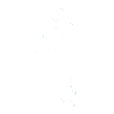 Nc1nc(Cl)cc(Nc2ccc(Oc3ccc4[nH]ncc4c3)c(Cl)c2)n1